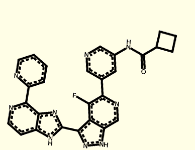 O=C(Nc1cncc(-c2ncc3[nH]nc(-c4nc5c(-c6ccccn6)nccc5[nH]4)c3c2F)c1)C1CCC1